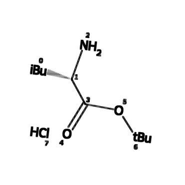 CCC(C)[C@H](N)C(=O)OC(C)(C)C.Cl